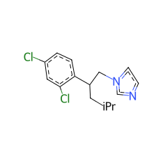 CC(C)CC(Cn1ccnc1)c1ccc(Cl)cc1Cl